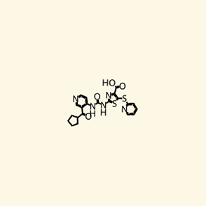 O=C(Nc1nc(C(=O)O)c(Sc2ccccn2)s1)Nc1ccncc1C(=O)C1CCCC1